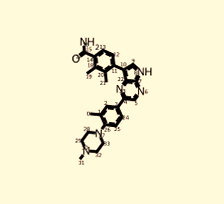 Cc1cc(-c2cnc3[nH]cc(-c4ccc(C(N)=O)c(C)c4C)c3n2)ccc1N1CCN(C)CC1